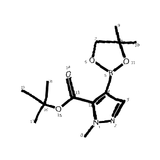 Cn1ncc(B2OCC(C)(C)O2)c1C(=O)OC(C)(C)C